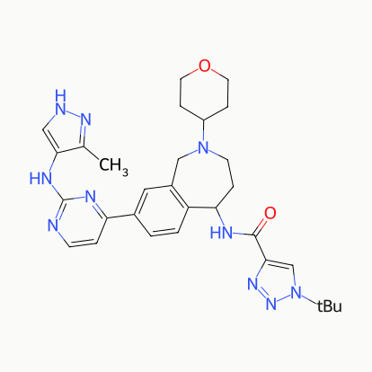 Cc1n[nH]cc1Nc1nccc(-c2ccc3c(c2)CN(C2CCOCC2)CCC3NC(=O)c2cn(C(C)(C)C)nn2)n1